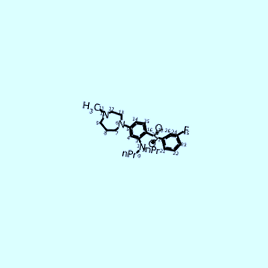 CCCN(CCC)c1cc(N2CCCN(C)CC2)ccc1S(=O)(=O)c1cccc(F)c1